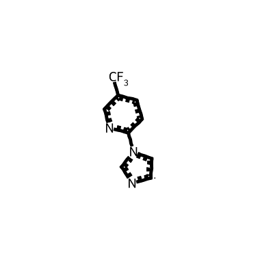 FC(F)(F)c1ccc(-n2c[c]nc2)nc1